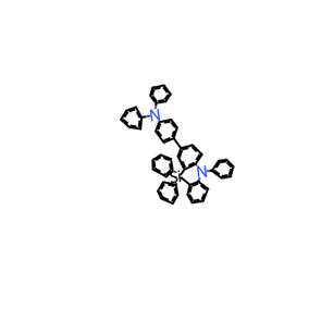 c1ccc(N(c2ccccc2)c2ccc(-c3ccc4c(c3)[Si](c3ccccc3)(c3ccccc3)c3ccccc3N4c3ccccc3)cc2)cc1